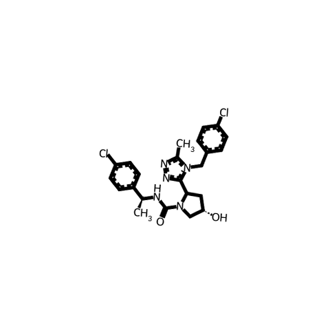 Cc1nnc(C2C[C@H](O)CN2C(=O)N[C@@H](C)c2ccc(Cl)cc2)n1Cc1ccc(Cl)cc1